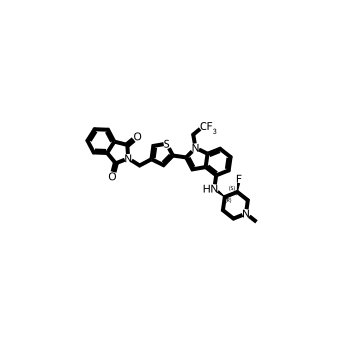 CN1CC[C@@H](Nc2cccc3c2cc(-c2cc(CN4C(=O)c5ccccc5C4=O)cs2)n3CC(F)(F)F)[C@@H](F)C1